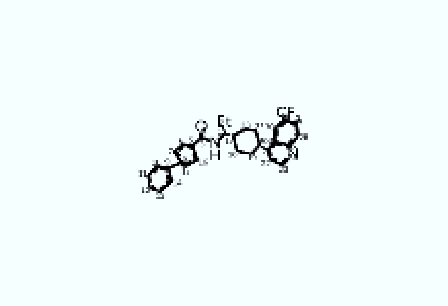 CCC(NC(=O)c1ccc(-c2ccccc2)cc1)[C@H]1CC[C@H](c2ccnc3ccc(C(F)(F)F)cc32)CC1